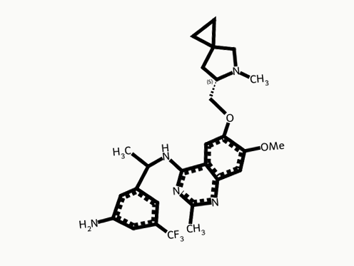 COc1cc2nc(C)nc(NC(C)c3cc(N)cc(C(F)(F)F)c3)c2cc1OC[C@@H]1CC2(CC2)CN1C